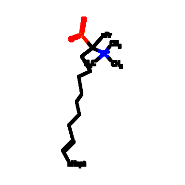 CCCCCCCC=CCCCCCCCC(CCC)(P(=O)=O)[N+](C)(C)C